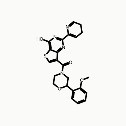 COc1ccccc1C1CN(C(=O)c2csc3c(O)nc(C4=CCCC=N4)nc23)CCO1